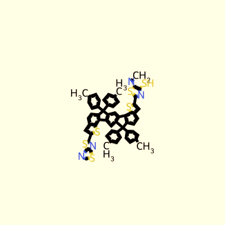 C=Nc1sc(-c2cc3ccc4c(c3s2)-c2cc3c(cc2C4(c2ccc(C)cc2)c2ccc(C)cc2)-c2c(ccc4cc(-c5nc6scnc6s5)sc24)C3(c2ccc(C)cc2)c2ccc(C)cc2)nc1S